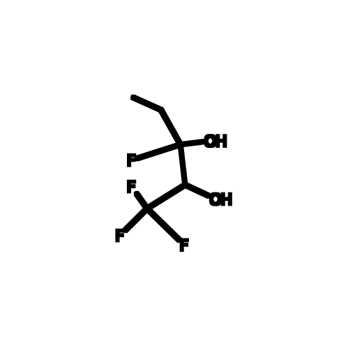 CCC(O)(F)C(O)C(F)(F)F